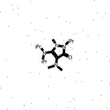 CC(C)N(c1c(N(C)C)c(=O)n(C(C)C)n1C)C(C)C